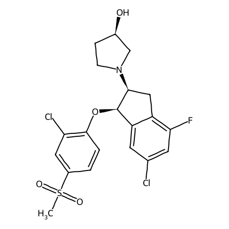 CS(=O)(=O)c1ccc(O[C@@H]2c3cc(Cl)cc(F)c3C[C@@H]2N2CC[C@@H](O)C2)c(Cl)c1